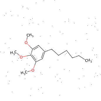 [CH2]CCCCCc1cc(OC)c(OC)c(OC)c1